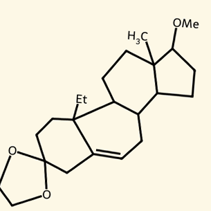 CCC12CCC3(CC1=CCC1C2CCC2(C)C(OC)CCC12)OCCO3